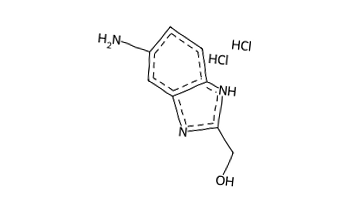 Cl.Cl.Nc1ccc2[nH]c(CO)nc2c1